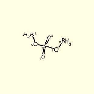 BOS(=O)(=O)OB